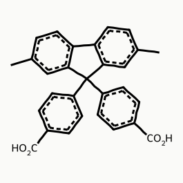 Cc1ccc2c(c1)C(c1ccc(C(=O)O)cc1)(c1ccc(C(=O)O)cc1)c1cc(C)ccc1-2